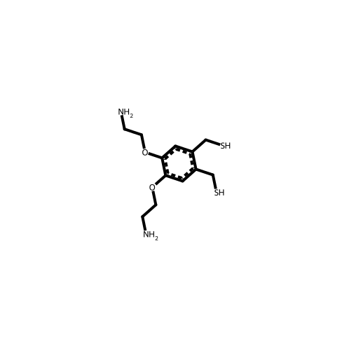 NCCOc1cc(CS)c(CS)cc1OCCN